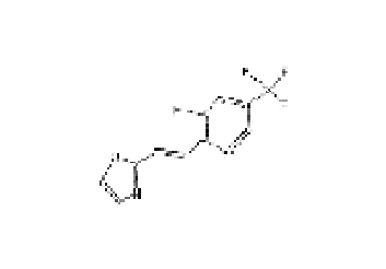 Fc1cc(C(F)(F)F)ccc1C=Cc1ncco1